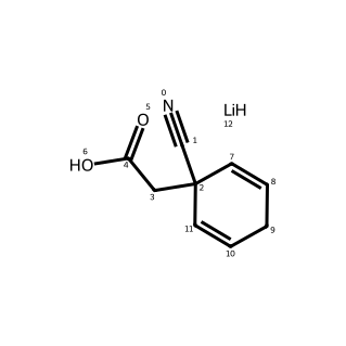 N#CC1(CC(=O)O)C=CCC=C1.[LiH]